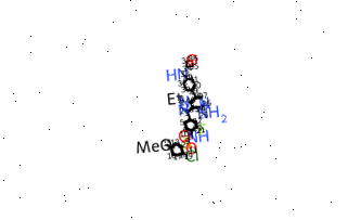 CCn1nc(-c2ccc(NS(=O)(=O)c3cc(OC)ccc3Cl)c(F)c2)c2c(N)ncc(C3=CC[C@H](NC4COC4)CC3)c21